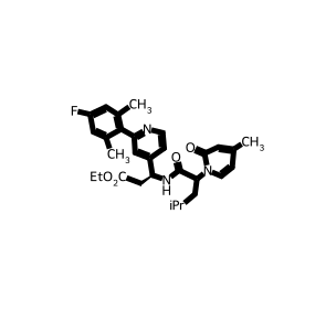 CCOC(=O)C[C@H](NC(=O)C(CC(C)C)n1ccc(C)cc1=O)c1ccnc(-c2c(C)cc(F)cc2C)c1